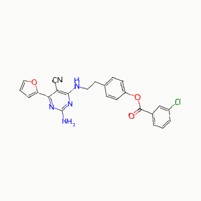 N#Cc1c(NCCc2ccc(OC(=O)c3cccc(Cl)c3)cc2)nc(N)nc1-c1ccco1